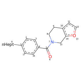 CCCCCCCc1ccc(C(=O)N2CCc3ccoc3C2)cc1